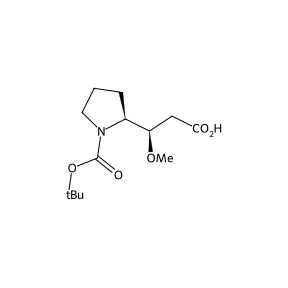 CO[C@H](CC(=O)O)[C@@H]1CCCN1C(=O)OC(C)(C)C